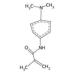 C=C(C)C(=O)Nc1ccc(N(C)C)cc1